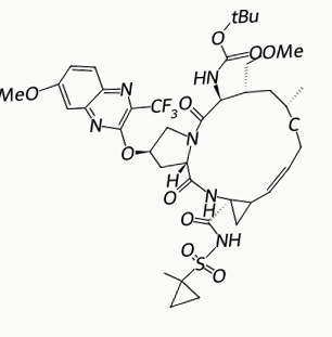 COC[C@@H]1C[C@H](C)CC/C=C\C2C[C@@]2(C(=O)NS(=O)(=O)C2(C)CC2)NC(=O)[C@@H]2C[C@@H](Oc3nc4cc(OC)ccc4nc3C(F)(F)F)CN2C(=O)[C@H]1NC(=O)OC(C)(C)C